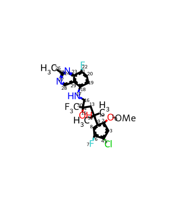 COOc1cc(Cl)c(F)cc1C(C)(C)CC(O)(CNc1ccc(F)c2nc(C)ncc12)C(F)(F)F